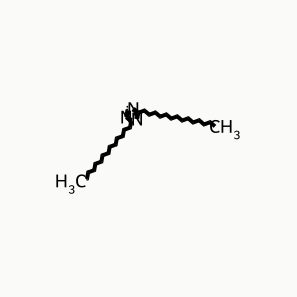 CCCCCCCCCCCCCCc1n[c]nc(CCCCCCCCCCCCCC)n1